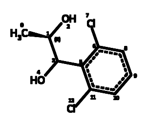 C[C@@H](O)C(O)c1c(Cl)cccc1Cl